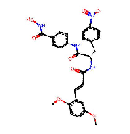 COc1ccc(OC)c(/C=C/C(=O)N[C@@H](Cc2ccc([N+](=O)[O-])cc2)C(=O)Nc2ccc(C(=O)NO)cc2)c1